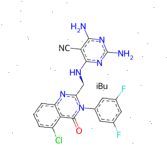 CC[C@H](C)[C@H](Nc1nc(N)nc(N)c1C#N)c1nc2cccc(Cl)c2c(=O)n1-c1cc(F)cc(F)c1